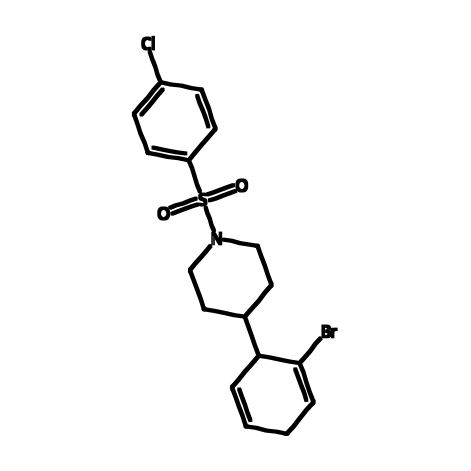 O=S(=O)(c1ccc(Cl)cc1)N1CCC(C2C=CCC=C2Br)CC1